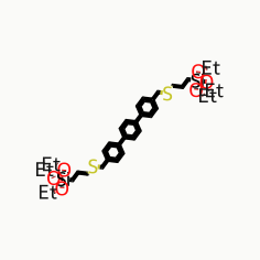 CCO[Si](CCCSCc1ccc(-c2ccc(-c3ccc(CSCCC[Si](OCC)(OCC)OCC)cc3)cc2)cc1)(OCC)OCC